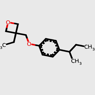 CCC(C)c1ccc(OCC2(CC)COC2)cc1